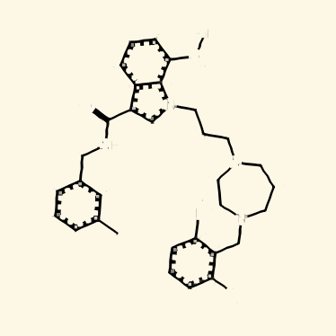 Cc1cccc(CNC(=O)c2cn(CCCN3CCCN(Cc4c(F)cccc4Cl)CC3)c3c(OC(C)C)cccc23)c1